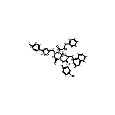 O=C1[C@H](Cc2ccc(O)cc2)N2C(=O)CN(Cc3nc(-c4ccc(F)cc4)no3)N(C(=O)NCc3ccccc3)[C@H]2CN1Cc1cccc2ncccc12